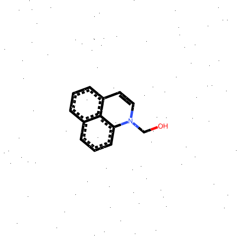 OCN1C=Cc2cccc3cccc1c23